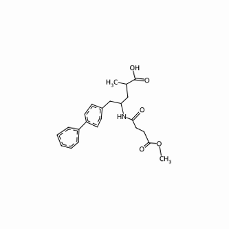 COC(=O)CCC(=O)NC(Cc1ccc(-c2ccccc2)cc1)CC(C)C(=O)O